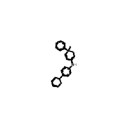 CC1(c2ccccc2)C=CC(Nc2ccc(C3C=CC=CC3)cc2)=CC1